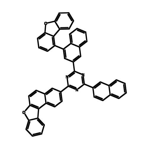 c1ccc2cc(-c3nc(-c4cc(-c5cccc6oc7ccccc7c56)c5ccccc5c4)nc(-c4ccc5c(ccc6oc7ccccc7c65)c4)n3)ccc2c1